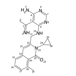 CC(=N)c1c(N)ncnc1NCc1cc2cccc(C)c2c(=O)n1C1CC1